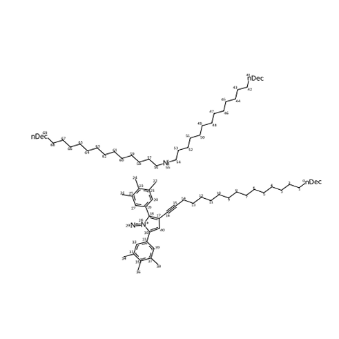 CCCCCCCCCCCCCCCCCCCCCCCCC#CC1=C(c2cc(C)c(C)c(C)c2)[N+](=[N-])C(c2cc(C)c(C)c(C)c2)=C1.CCCCCCCCCCCCCCCCCCCCCC[CH2][Ni][CH2]CCCCCCCCCCCCCCCCCCCCCC